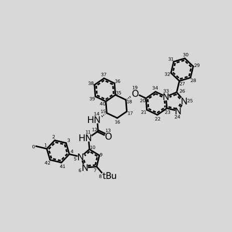 Cc1ccc(-n2nc(C(C)(C)C)cc2NC(=O)N[C@H]2CC[C@@H](Oc3ccc4nnc(-c5ccccc5)n4c3)c3ccccc32)cc1